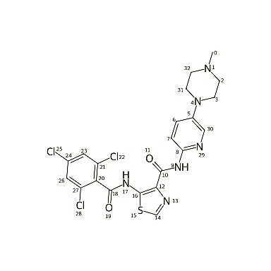 CN1CCN(c2ccc(NC(=O)c3ncsc3NC(=O)c3c(Cl)cc(Cl)cc3Cl)nc2)CC1